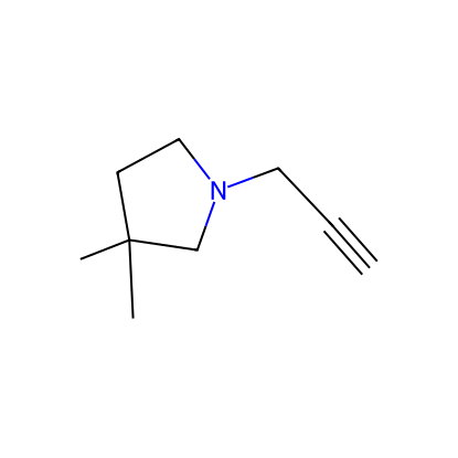 C#CCN1CCC(C)(C)C1